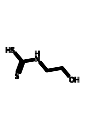 OCCNC(=S)S